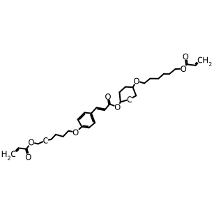 C=CC(=O)OCCCCCCOc1ccc(C=CC(=O)OC2CCC(OCCCCCCOC(=O)C=C)CC2)cc1